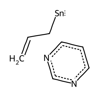 C=C[CH2][Sn].c1cncnc1